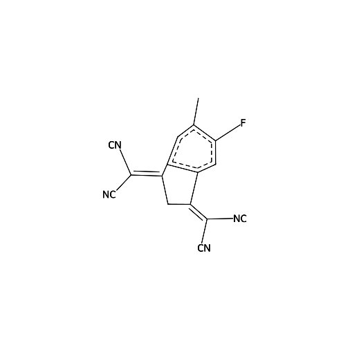 [C-]#[N+]/C(C#N)=C1/C/C(=C(\C#N)[N+]#[C-])c2cc(F)c(C)cc21